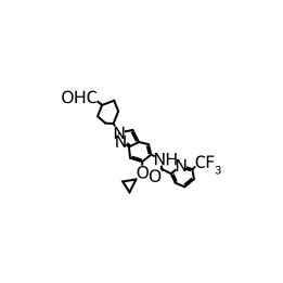 O=CC1CCC(n2cc3cc(NC(=O)c4cccc(C(F)(F)F)n4)c(OC4CC4)cc3n2)CC1